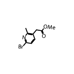 COC(=O)Cc1ccc(Br)nc1C